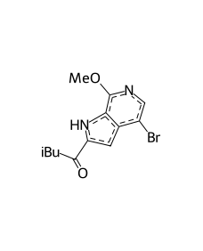 CCC(C)C(=O)c1cc2c(Br)cnc(OC)c2[nH]1